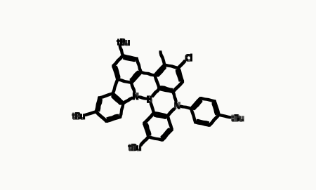 Cc1c(Cl)cc2c3c1-c1cc(C(C)(C)C)cc4c5cc(C(C)(C)C)ccc5n(c14)B3c1cc(C(C)(C)C)ccc1N2c1ccc(C(C)(C)C)cc1